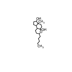 CCCCCC1CCC2C3CCC(O)C3(C)CCC2(O)O1